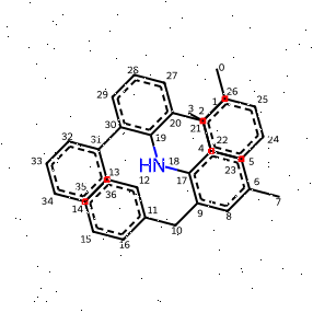 CCC(C)c1cc(C)cc(Cc2ccccc2)c1Nc1c(-c2ccccc2)cccc1-c1ccccc1